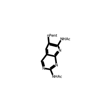 CCCCCc1cc2cnc(NC(C)=O)nc2nc1NC(C)=O